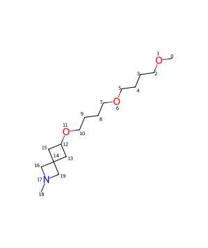 COCCCCOCCCCOC1CC2(C1)CN(C)C2